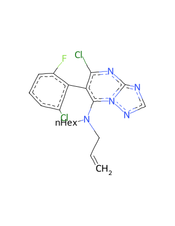 C=CCN(CCCCCC)c1c(-c2c(F)cccc2Cl)c(Cl)nc2ncnn12